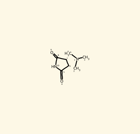 CN(C)C.O=C1CCC(=O)N1